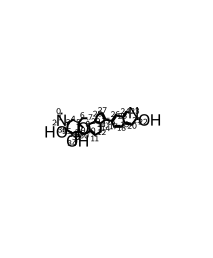 CN(C)[C@H]1C[C@@]23CC[C@@]4(O2)C(=CC[C@]2(C)C(c5ccc6cc(O)ncc6c5)=CCC24)CC3(F)[C@@H](O)[C@@H]1O